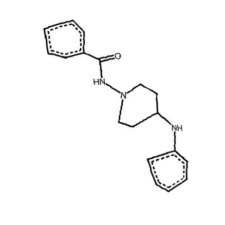 O=C(NN1CCC(Nc2ccccc2)CC1)c1ccccc1